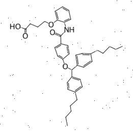 CCCCCc1ccc(C(Oc2ccc(C(=O)Nc3ccccc3OCCCC(=O)O)cc2)c2ccc(CCCCC)cc2)cc1